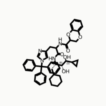 O=C(N[C@@H](CC1CCCCC1)[C@@H](O)[C@@H](O)C1CC1)C(Cc1cn(C(c2ccccc2)(c2ccccc2)c2ccccc2)cn1)NC(=O)C1COc2ccccc2O1